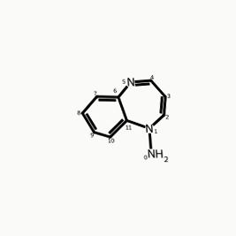 NN1C=CC=Nc2ccccc21